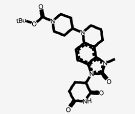 Cn1c(=O)n(C2CCC(=O)NC2=O)c2ccc3c(c21)CCCN3C1CCN(C(=O)OC(C)(C)C)CC1